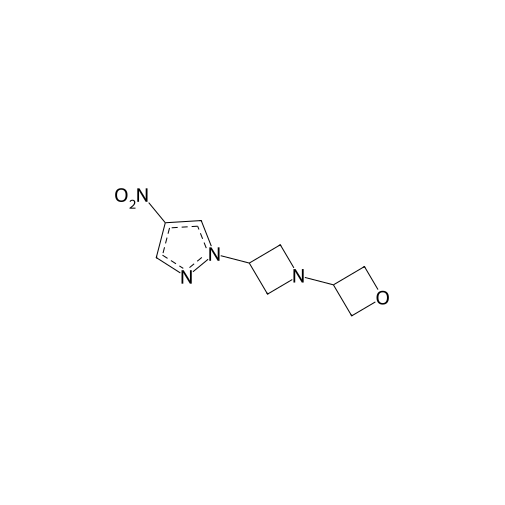 O=[N+]([O-])c1cnn(C2CN(C3COC3)C2)c1